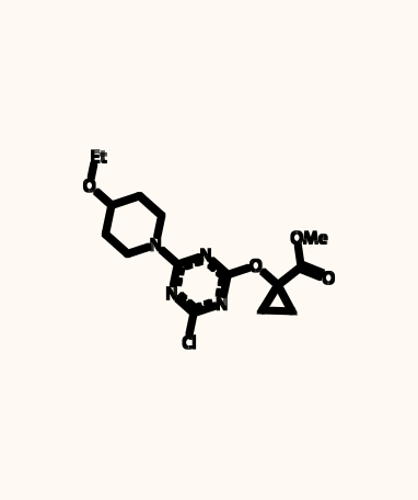 CCOC1CCN(c2nc(Cl)nc(OC3(C(=O)OC)CC3)n2)CC1